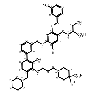 N#Cc1cncc(COc2cc(OCc3cccc(-c4ccc(CN5CCCCC5)c(OCCCN5CCC(O)(C(=O)O)CC5)c4O)c3)c(Cl)cc2CNC(CO)C(=O)O)c1